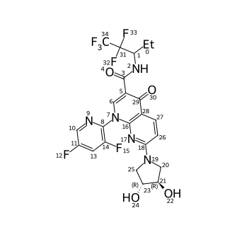 CCC(NC(=O)c1cn(-c2ncc(F)cc2F)c2nc(N3C[C@@H](O)[C@H](O)C3)ccc2c1=O)C(F)(F)C(F)(F)F